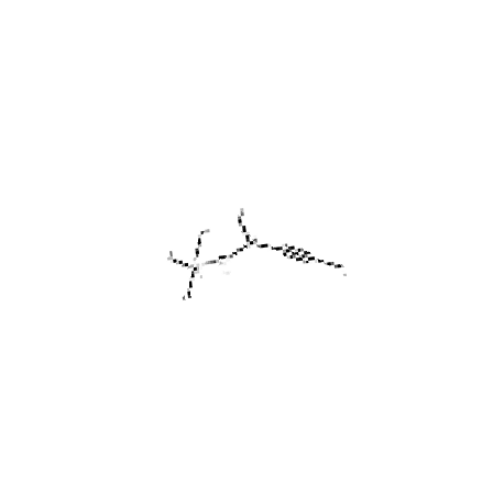 CC#CC(C)O[Si](C)(C)C